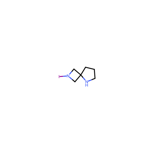 IN1CC2(CCCN2)C1